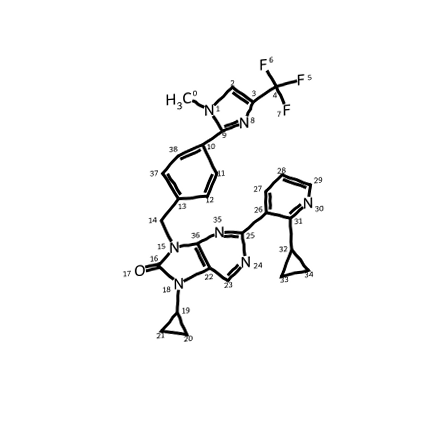 Cn1cc(C(F)(F)F)nc1-c1ccc(Cn2c(=O)n(C3CC3)c3cnc(-c4cccnc4C4CC4)nc32)cc1